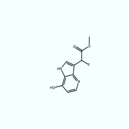 COC(=O)C(F)c1c[nH]c2c(O)ccnc12